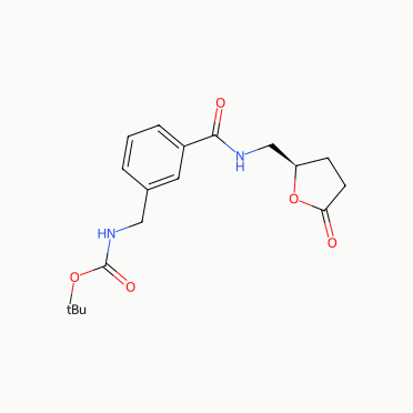 CC(C)(C)OC(=O)NCc1cccc(C(=O)NC[C@H]2CCC(=O)O2)c1